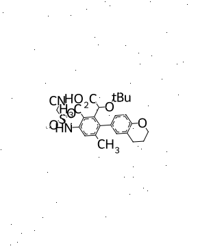 Cc1cc(NS(=O)(=O)CC#N)c(C)c(C(OC(C)(C)C)C(=O)O)c1-c1ccc2c(c1)CCCO2